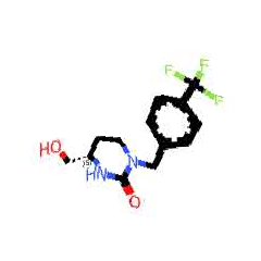 O=C1N[C@H](CO)CCN1Cc1ccc(C(F)(F)F)cc1